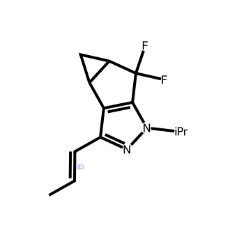 C/C=C/c1nn(C(C)C)c2c1C1CC1C2(F)F